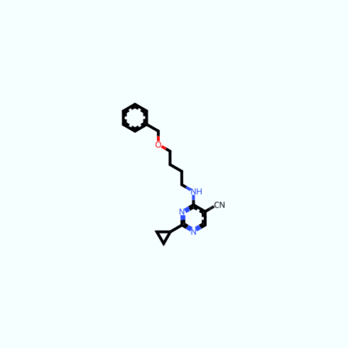 N#Cc1cnc(C2CC2)nc1NCCCCOCc1ccccc1